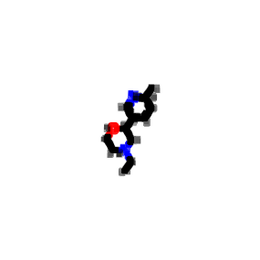 [CH2]CN1CCOC(c2ccc(C)nc2)C1